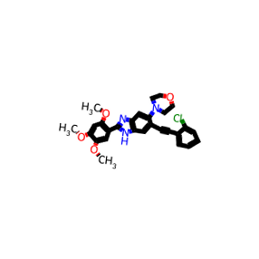 COc1cc(OC)c(-c2nc3cc(N4CCOCC4)c(C#Cc4ccccc4Cl)cc3[nH]2)cc1OC